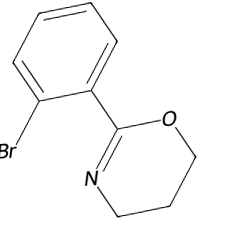 Brc1ccccc1C1=NCCCO1